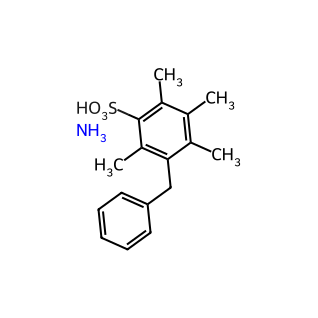 Cc1c(C)c(Cc2ccccc2)c(C)c(S(=O)(=O)O)c1C.N